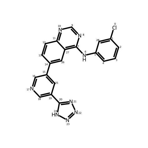 Clc1cccc(Nc2ncnc3ccc(-c4cncc(-c5nnn[nH]5)c4)cc23)c1